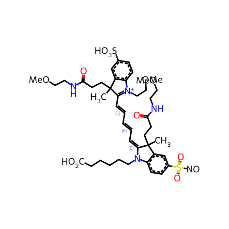 COCCNC(=O)CCC1(C)C(/C=C/C=C/C=C2/N(CCCCCC(=O)O)c3ccc(S(=O)(=O)N=O)cc3C2(C)CCC(=O)NCCOC)=[N+](CCOC)c2ccc(S(=O)(=O)O)cc21